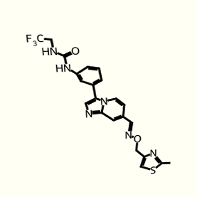 Cc1nc(CON=Cc2ccn3c(-c4cccc(NC(=O)NCC(F)(F)F)c4)cnc3c2)cs1